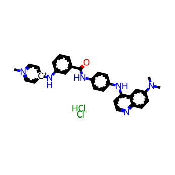 CN(C)c1ccc2nccc(Nc3ccc(NC(=O)c4cccc(N[c+]5ccn(C)cc5)c4)cc3)c2c1.Cl.[Cl-]